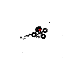 CCCCc1cccc(-c2ccccc2C2(C(c3ccccc3)(c3ccccc3)c3ccccc3)N=NN=N2)c1